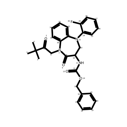 CC(C)(C)C(=O)CN1C(=O)C(NC(=O)OCc2ccccc2)CN(c2ccccc2F)c2ccccc21